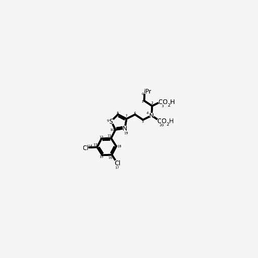 CC(C)CC(C(=O)O)N(CCc1csc(-c2cc(Cl)cc(Cl)c2)n1)C(=O)O